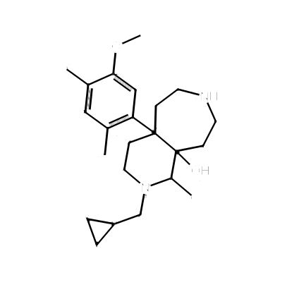 COc1cc(C23CCNCCC2(O)C(C)N(CC2CC2)CC3)c(C)cc1C